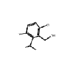 CC(C)c1c(F)ccc(Cl)c1CO